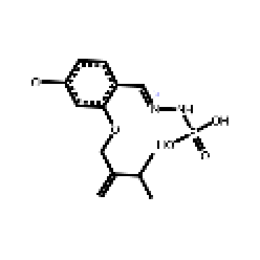 C=C(COc1cc(Cl)ccc1/C=N/NP(=O)(O)O)C(C)C